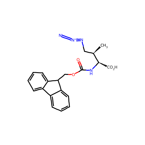 C[C@H](CN=[N+]=[N-])[C@H](NC(=O)OCC1c2ccccc2-c2ccccc21)C(=O)O